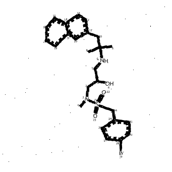 CN(CC(O)CNC(C)(C)Cc1ccc2ccccc2c1)S(=O)(=O)Cc1ccc(Br)cc1